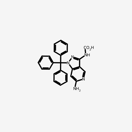 Nc1cc2c(cn1)c(NC(=O)O)nn2C(c1ccccc1)(c1ccccc1)c1ccccc1